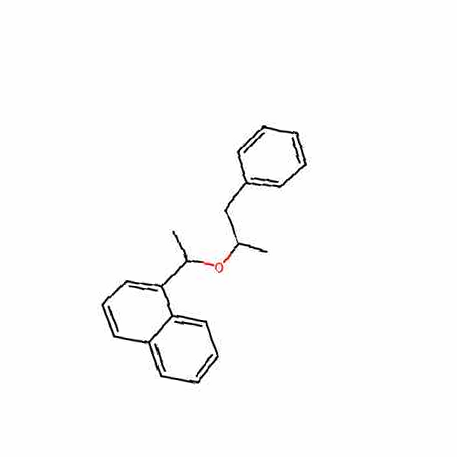 CC(Cc1ccccc1)OC(C)c1cccc2ccccc12